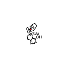 CC(C)(C)OC(=O)N1C2CCC1CC(Oc1ccc3ncnc(O)c3n1)C2